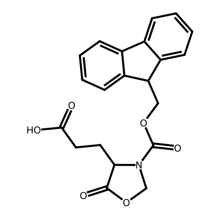 O=C(O)CCC1C(=O)OCN1C(=O)OCC1c2ccccc2-c2ccccc21